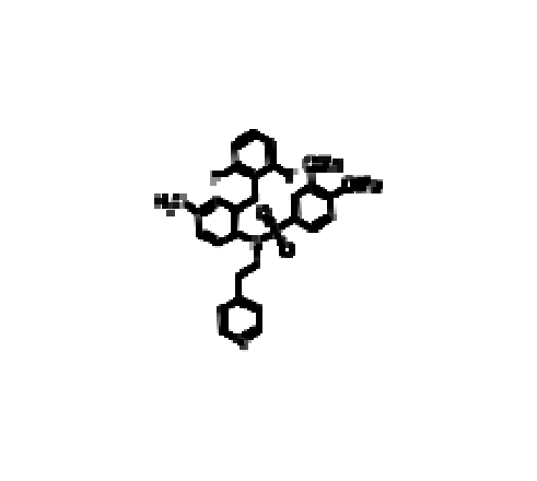 COc1ccc(S(=O)(=O)N(CCc2ccncc2)c2ccc(C)cc2Cc2c(F)cccc2F)cc1OC